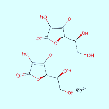 O=C1O[C@H]([C@@H](O)CO)C([O-])=C1O.O=C1O[C@H]([C@@H](O)CO)C([O-])=C1O.[Mg+2]